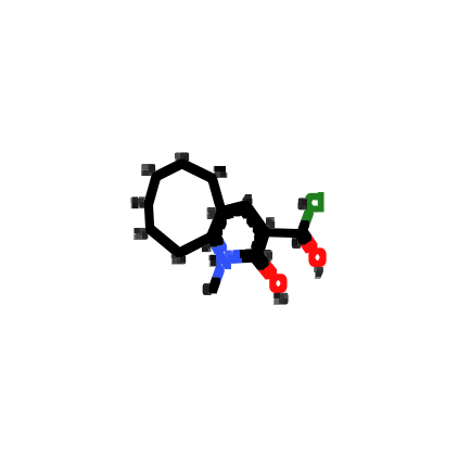 Cn1c2c(cc(C(=O)Cl)c1=O)CCCCCC2